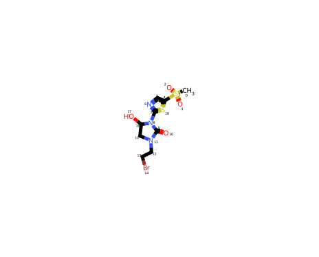 CS(=O)(=O)c1cnc(N2C(=O)N(CCBr)CC2O)s1